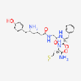 CSCC[C@H](NC(=O)[C@H](Cc1ccccc1)NC(=O)CNC(=O)CCCC(N)Cc1ccc(O)cc1)C(N)=O